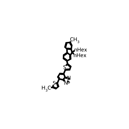 CCCCCCC1(CCCCCC)c2cc(C)ccc2-c2ccc(-c3ccc(-c4ccc(-c5ccc(C)s5)c5nsnc45)s3)cc21